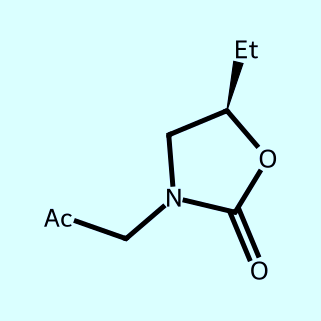 CC[C@@H]1CN(CC(C)=O)C(=O)O1